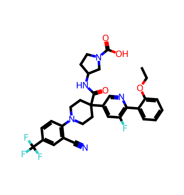 CCOc1ccccc1-c1ncc(C2(C(=O)NC3CCN(C(=O)O)C3)CCN(c3ccc(C(F)(F)F)cc3C#N)CC2)cc1F